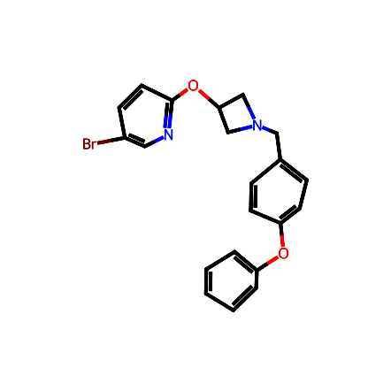 Brc1ccc(OC2CN(Cc3ccc(Oc4ccccc4)cc3)C2)nc1